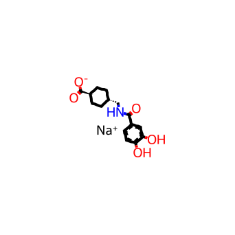 O=C(NC[C@H]1CC[C@H](C(=O)[O-])CC1)c1ccc(O)c(O)c1.[Na+]